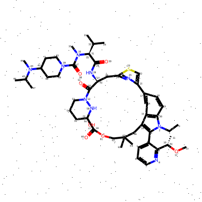 CCn1c(-c2cccnc2[C@H](C)OC)c2c3cc(ccc31)-c1csc(n1)C[C@H](NC(=O)[C@H](C(C)C)N(C)C(=O)N1CCC(N(C)C(C)C)CC1)C(=O)N1CCC[C@@](O)(N1)C(=O)OCC(C)(C)C2